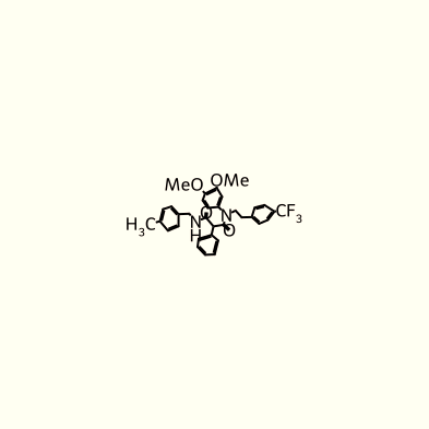 COc1ccc(N(CCc2ccc(C(F)(F)F)cc2)C(=O)C(C(=O)NCc2ccc(C)cc2)c2ccccc2)cc1OC